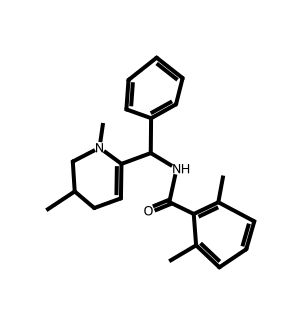 Cc1cccc(C)c1C(=O)NC(C1=CCC(C)CN1C)c1ccccc1